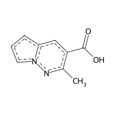 Cc1nn2cccc2cc1C(=O)O